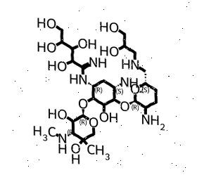 CN[C@@H]1C(O)[C@@H](OC2C(O)C(O[C@H]3O[C@H](CNCC(O)CO)CCC3N)[C@@H](N)C[C@H]2NC(=N)C(O)C(O)C(O)CO)OCC1(C)O